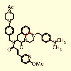 COc1ccc(C=CC(=O)N(Cc2ccc(N3CCN(C(C)=O)CC3)cc2)C(Cc2ccccc2)C(=O)N2CCN(Cc3ccc(N(C)C)cc3)CC2)cn1